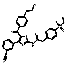 CCS(=O)(=O)c1ccc(CC(=O)Nc2nc(-c3cccc(C#N)c3)c(C(=O)c3ccc(CCO)cc3)s2)cc1